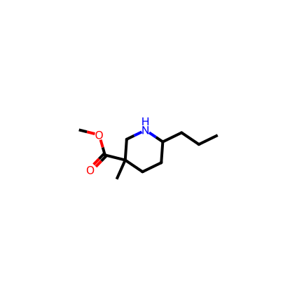 CCCC1CCC(C)(C(=O)OC)CN1